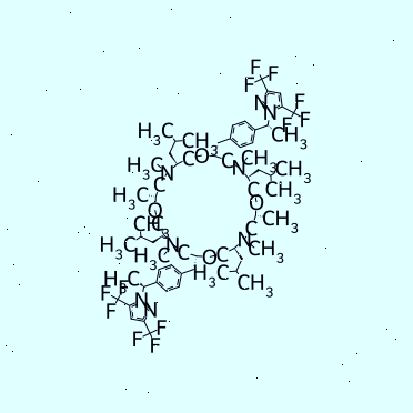 CC(C)C[C@H]1CO[C@H](C)CN(C)[C@@H](CC(C)C)CO[C@H](Cc2ccc([C@@H](C)n3nc(C(F)(F)F)cc3C(F)(F)F)cc2)CN(C)[C@@H](CC(C)C)CO[C@H](C)CN(C)[C@@H](CC(C)C)CO[C@H](Cc2ccc([C@H](C)n3nc(C(F)(F)F)cc3C(F)(F)F)cc2)CN1C